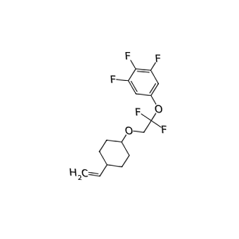 C=CC1CCC(OCC(F)(F)Oc2cc(F)c(F)c(F)c2)CC1